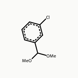 COC(OC)c1cccc(Cl)c1